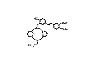 COc1ccc(/C=C/c2ccc(O)c(CN3Cc4cccc(n4)CN(CC(=O)O)Cc4cccc(n4)C3)c2)cc1OC